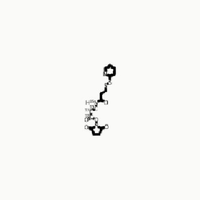 O=C(CCSSc1ccccn1)[15NH][13CH2][13CH2][13C](=O)ON1C(=O)CCC1=O